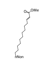 CCCCCCCCCCCCCCCCCCCC=CC(=O)OC